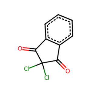 O=C1c2ccccc2C(=O)C1(Cl)Cl